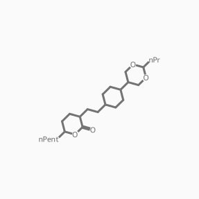 CCCCCC1CCC(CCC2CCC(C3COC(CCC)OC3)CC2)C(=O)O1